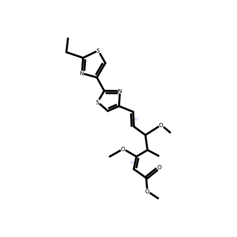 CCc1nc(-c2nc(/C=C/C(OC)C(C)/C(=C\C(=O)OC)OC)cs2)cs1